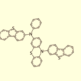 c1ccc(N(c2ccc3c(c2)Sc2ccccc2N3c2ccc3c(c2)sc2ccccc23)c2ccc3c(c2)sc2ccccc23)cc1